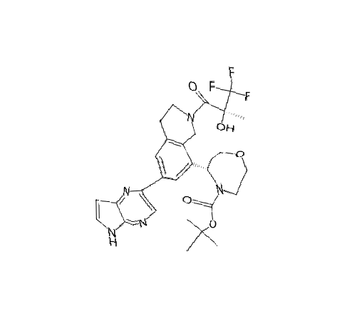 CC(C)(C)OC(=O)N1CCOC[C@H]1c1cc(-c2cnc3[nH]ccc3n2)cc2c1CN(C(=O)[C@](C)(O)C(F)(F)F)CC2